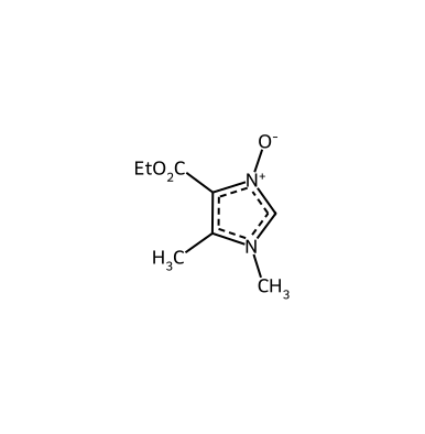 CCOC(=O)c1c(C)n(C)c[n+]1[O-]